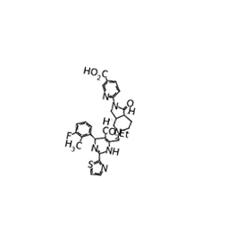 CCOC(=O)C1=C(CN2CC[C@@H]3C(=O)N(c4ccc(C(=O)O)cn4)C[C@@H]3C2)NC(c2nccs2)=N[C@H]1c1cccc(F)c1C